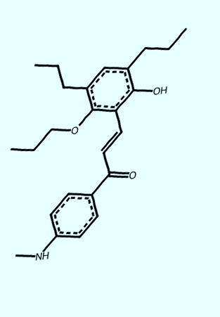 CCCOc1c(CCC)cc(CCC)c(O)c1C=CC(=O)c1ccc(NC)cc1